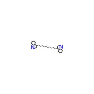 c1ccc2c(CCCCCCCCCCc3ccnc4ccccc34)ccnc2c1